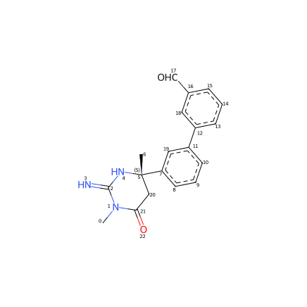 CN1C(=N)N[C@](C)(c2cccc(-c3cccc(C=O)c3)c2)CC1=O